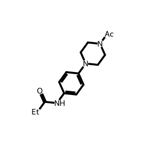 CCC(=O)Nc1ccc(N2CCN(C(C)=O)CC2)cc1